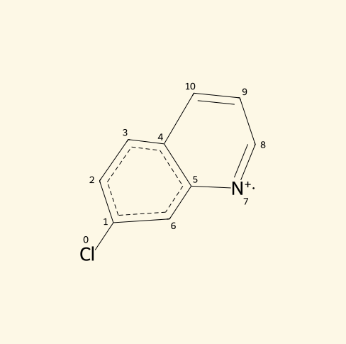 Clc1ccc2c(c1)[N+]=CC=C2